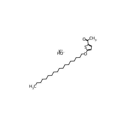 CCCCCCCCCCCCCCCCCCOc1ccc(C(C)=O)s1.[K+].[OH-]